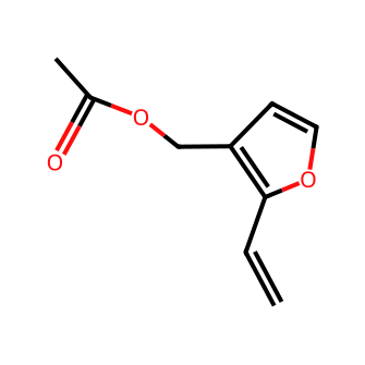 C=Cc1occc1COC(C)=O